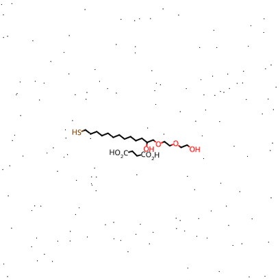 O=C(O)CCC(=O)O.OCCOCCOCC(O)CCCCCCCCCCCS